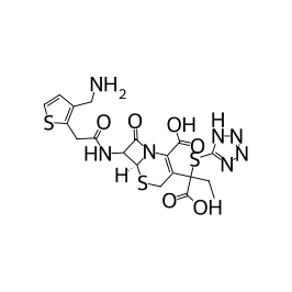 CCC(Sc1nnn[nH]1)(C(=O)O)C1=C(C(=O)O)N2C(=O)C(NC(=O)Cc3sccc3CN)[C@@H]2SC1